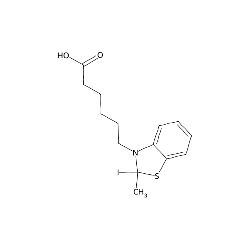 CC1(I)Sc2ccccc2N1CCCCCC(=O)O